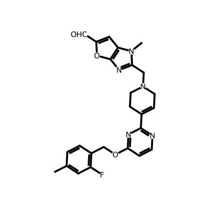 Cc1ccc(COc2ccnc(C3=CCN(Cc4nc5oc(C=O)cc5n4C)CC3)n2)c(F)c1